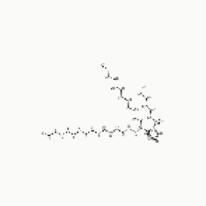 CCCCCCCCCCCCCCCCC(CCCCCCCCCCCC)c1nccn1C(C)CCCCCC